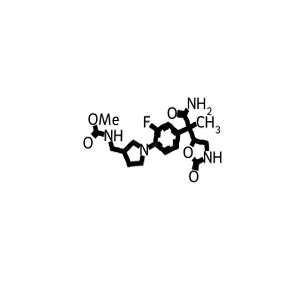 COC(=O)NCC1CCN(c2ccc(C(C)(C(N)=O)C3CNC(=O)O3)cc2F)C1